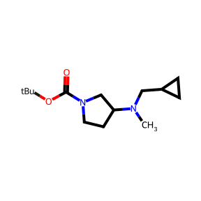 CN(CC1CC1)C1CCN(C(=O)OC(C)(C)C)C1